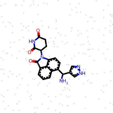 NC(c1cn[nH]c1)c1ccc2c3c(cccc13)C(=O)N2C1CCC(=O)NC1=O